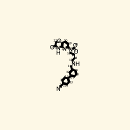 N#Cc1ccc(-c2cccc(CNCC[C@H]3CN(c4ccc5c(n4)NC(=O)CO5)C(=O)O3)c2)cc1